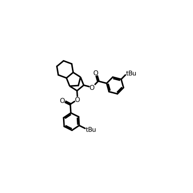 CC(C)(C)c1cccc(C(=O)OC2C3CC(C4CCCCC43)C2OC(=O)c2cccc(C(C)(C)C)c2)c1